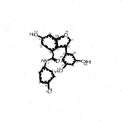 O=C(Nc1ccc(Cl)cc1)c1cc(O)cc2occ(-c3cc(O)cc(O)c3)c12